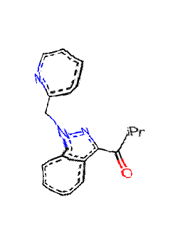 CC(C)C(=O)c1nn(Cc2ccccn2)c2ccccc12